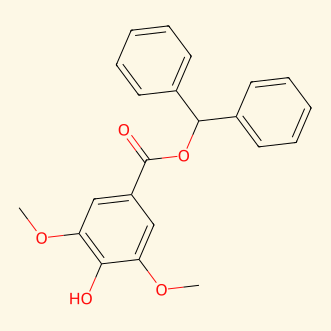 COc1cc(C(=O)OC(c2ccccc2)c2ccccc2)cc(OC)c1O